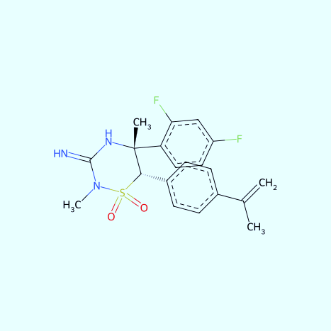 C=C(C)c1ccc([C@H]2[C@@](C)(c3ccc(F)cc3F)NC(=N)N(C)S2(=O)=O)cc1